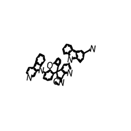 N#Cc1ccc2c(c1)c1ccccc1n2-c1cnc2c(c1)C1(c3ccccc3Oc3c(-n4c5ccccc5c5ccncc54)cccc31)c1cccnc1-2